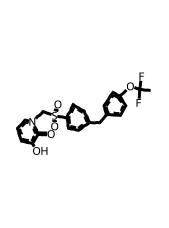 CC(F)(F)Oc1ccc(Cc2ccc(S(=O)(=O)Cn3cccc(O)c3=O)cc2)cc1